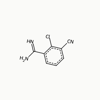 N#Cc1cccc(C(=N)N)c1Cl